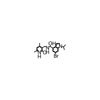 Cc1cc(C)c(CNC(O)c2cc(Br)cc3c2ccn3C(C)C)c(=O)[nH]1